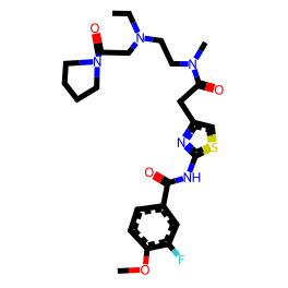 CCN(CCN(C)C(=O)Cc1csc(NC(=O)c2ccc(OC)c(F)c2)n1)CC(=O)N1CCCC1